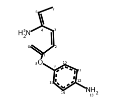 C=C(/C=C\C(N)=C/C)Oc1ccc(N)cc1